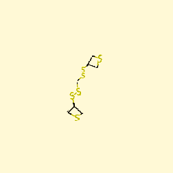 C(SSC1CSC1)SSC1CSC1